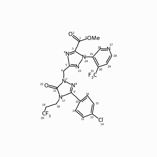 COC(=O)c1nc(Cn2nc(-c3ccc(Cl)cc3)n(CCC(F)(F)F)c2=O)nn1-c1cnccc1C(F)(F)F